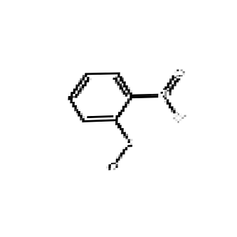 [O]Sc1ccccc1[N+](=O)[O-]